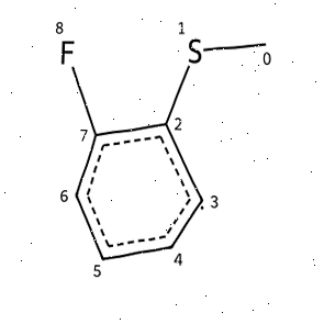 CSc1[c]cccc1F